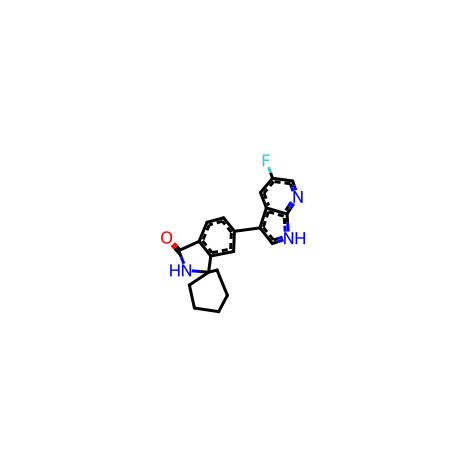 O=C1NC2(CCCCC2)c2cc(-c3c[nH]c4ncc(F)cc34)ccc21